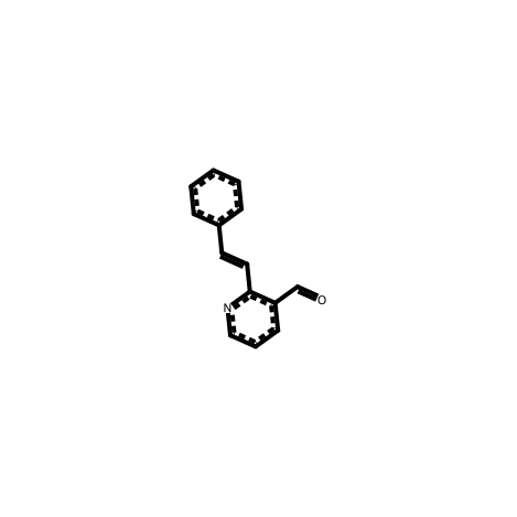 O=Cc1cccnc1C=Cc1ccccc1